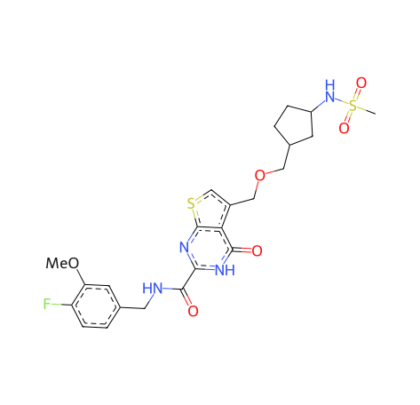 COc1cc(CNC(=O)c2nc3scc(COCC4CCC(NS(C)(=O)=O)C4)c3c(=O)[nH]2)ccc1F